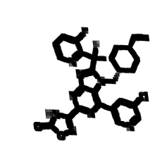 C=C[C@H]1CC[C@H](Cn2c(C(C)(F)c3ncccc3F)nc3nc(-c4noc(=O)[nH]4)nc(-c4cncc(Cl)c4)c32)CC1